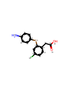 Nc1ccc(Sc2cc(F)ccc2CC(=O)O)cc1